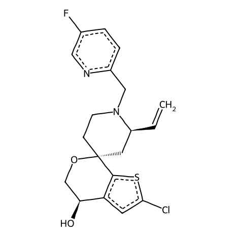 C=C[C@H]1C[C@@]2(CCN1Cc1ccc(F)cn1)OC[C@H](O)c1cc(Cl)sc12